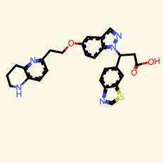 O=C(O)CC(c1ccc2ncsc2c1)n1ncc2cc(OCCc3ccc4c(n3)CCCN4)ccc21